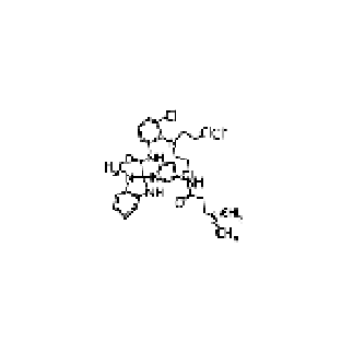 CN1c2ccccc2NC1(C(=O)Nc1cccc(Cl)c1N(CCCl)CCCl)n1ccc(NC(=O)CC[S+](C)C)c1.[Cl-]